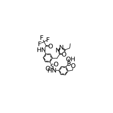 CCc1nnc(Cc2cc(NC(=O)C(F)(F)F)ccc2S(=O)(=O)Nc2ccc3c(c2)B(O)OC3)o1